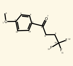 COc1ccc(C(=O)CCC(F)(F)F)cc1